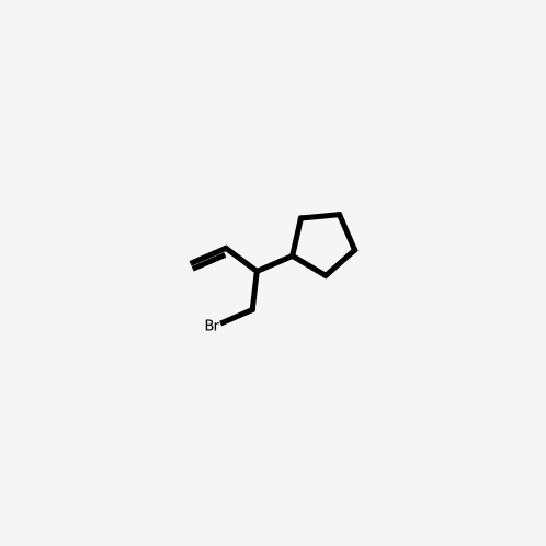 C=CC(CBr)C1CCCC1